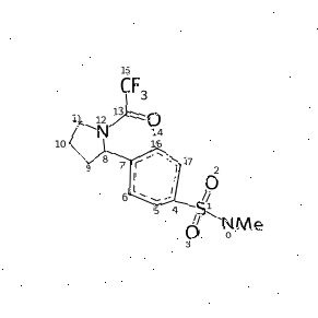 CNS(=O)(=O)c1ccc(C2CCCN2C(=O)C(F)(F)F)cc1